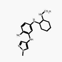 Cn1cc(Nc2cc(NC3CCCCC3NC(=O)O)ccc2C#N)cn1